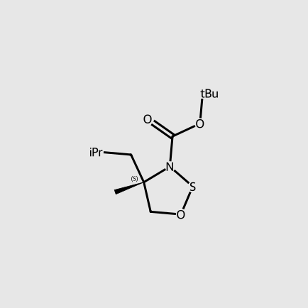 CC(C)C[C@@]1(C)COSN1C(=O)OC(C)(C)C